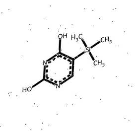 C[Si](C)(C)c1cnc(O)nc1O